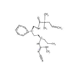 C=CCC(C)(C)C(=O)NC[C@@H](CC[C@@H](CCC)N/C(=N/C#N)NC)c1ccccc1